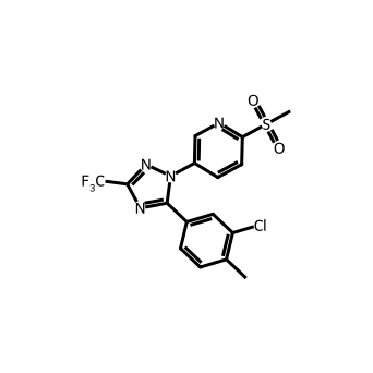 Cc1ccc(-c2nc(C(F)(F)F)nn2-c2ccc(S(C)(=O)=O)nc2)cc1Cl